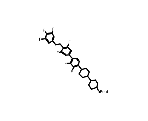 CCCCCC1CCC(C2CCC(c3ccc(-c4cc(F)c(CCc5cc(F)c(F)c(F)c5)c(F)c4)c(F)c3F)CC2)CC1